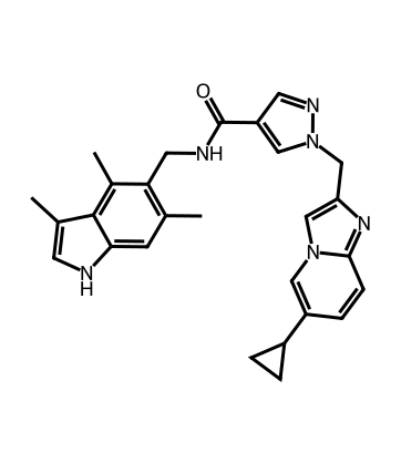 Cc1cc2[nH]cc(C)c2c(C)c1CNC(=O)c1cnn(Cc2cn3cc(C4CC4)ccc3n2)c1